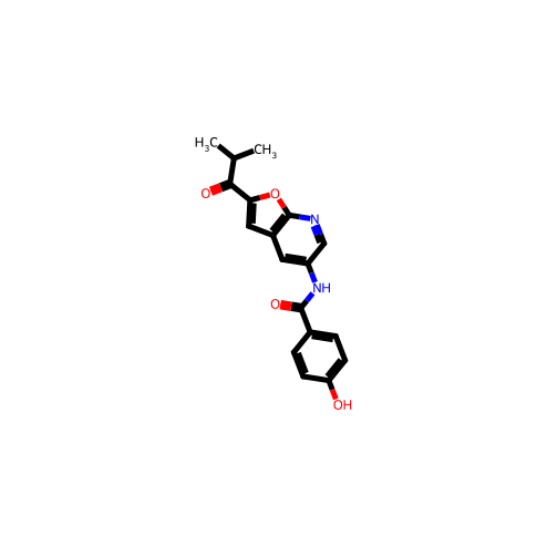 CC(C)C(=O)c1cc2cc(NC(=O)c3ccc(O)cc3)cnc2o1